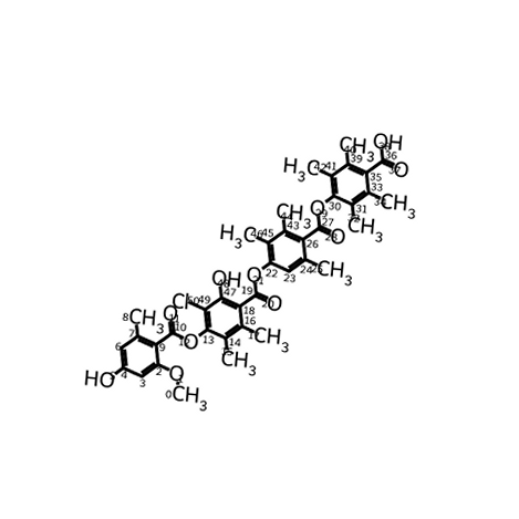 COc1cc(O)cc(C)c1C(=O)Oc1c(C)c(C)c(C(=O)Oc2cc(C)c(C(=O)Oc3c(C)c(C)c(C(=O)O)c(C)c3C)c(C)c2C)c(O)c1Cl